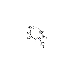 C/C(=C\c1csc(C)n1)C1OC(=O)CC(O)C(C)(C)C(=O)C(C)C(O)C(C)CCC[C@@]2(C)O[C@H]2C1N